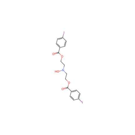 O=C(OCCN(O)CCOC(=O)c1ccc(I)cc1)c1ccc(I)cc1